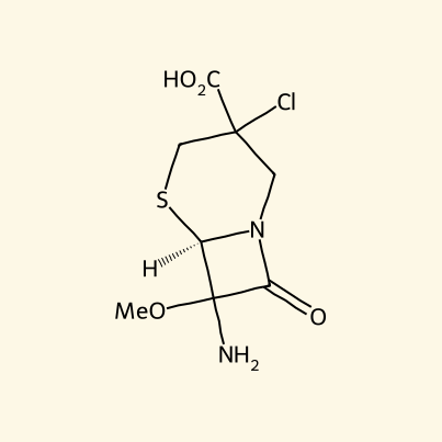 COC1(N)C(=O)N2CC(Cl)(C(=O)O)CS[C@@H]21